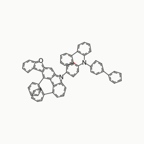 c1ccc(-c2ccc(N(c3ccc(-n4c5cccc(-c6ccccc6)c5c5c(-c6ccccc6)c6c(cc54)oc4ccccc46)cc3)c3ccccc3-c3ccccc3)cc2)cc1